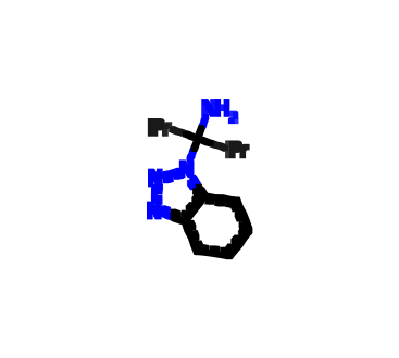 CC(C)C(N)(C(C)C)n1nnc2ccccc21